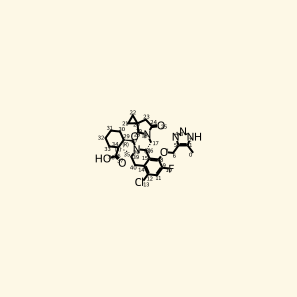 Cc1[nH]nnc1COc1c(F)cc(Cl)c2c1[C@@H](CN1CC3(CC3)CC1=O)N(C(=O)[C@@H]1CCCC[C@]1(C)C(=O)O)CC2